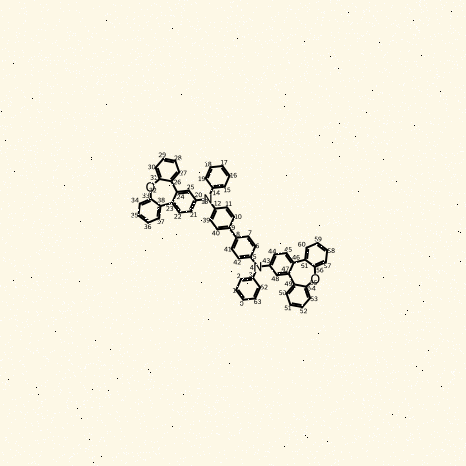 c1ccc(N(c2ccc(-c3ccc(N(c4ccccc4)c4ccc5c(c4)-c4ccccc4Oc4ccccc4-5)cc3)cc2)c2ccc3c(c2)-c2ccccc2Oc2ccccc2-3)cc1